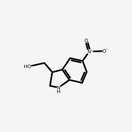 O=[N+]([O-])c1ccc2c(c1)C(CO)CN2